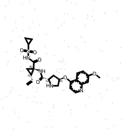 C=C[C@@H]1C[C@]1(NC(=O)[C@@H]1C[C@@H](Oc2ccnc3cc(OC)ccc23)CN1)C(=O)NS(=O)(=O)C1CC1